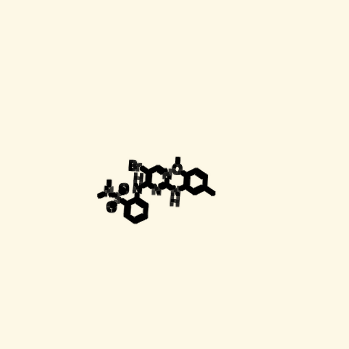 COc1ccc(C)cc1Nc1ncc(Br)c(Nc2ccccc2S(=O)(=O)N(C)C)n1